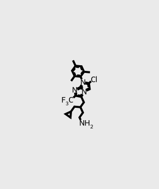 Cc1cc(C)c(-n2c(Cl)cn3c(CC(CCN)CC4CC4)c(C(F)(F)F)nc23)c(C)c1